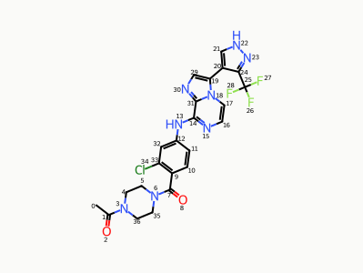 CC(=O)N1CCN(C(=O)c2ccc(Nc3nccn4c(-c5c[nH]nc5C(F)(F)F)cnc34)cc2Cl)CC1